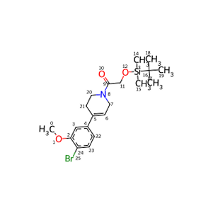 COc1cc(C2=CCN(C(=O)CO[Si](C)(C)C(C)(C)C)CC2)ccc1Br